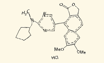 COc1cc2cc3c(c(-c4cnc(N(C)C5CCCC5)nc4)c2cc1OC)C(=O)OC3.Cl